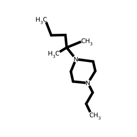 CCCN1CCN(C(C)(C)CCC)CC1